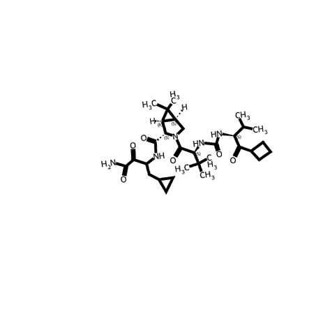 CC(C)[C@H](NC(=O)N[C@H](C(=O)N1C[C@H]2[C@@H]([C@H]1C(=O)NC(CC1CC1)C(=O)C(N)=O)C2(C)C)C(C)(C)C)C(=O)C1CCC1